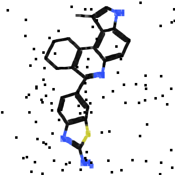 Cc1c[nH]c2ccc3nc(-c4ccc5nc(N)sc5c4)c4c(c3c12)CCCC4